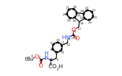 CC(C)(C)OC(=O)N[C@@H](Cc1cccc(CNC(=O)OCC2c3ccccc3-c3ccccc32)c1)C(=O)O